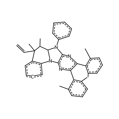 C=CC1(C)c2ccccc2N2c3nc(-c4c(C)cccc4C)c(-c4c(C)cccc4C)nc3N(c3ccccc3)C2C1C